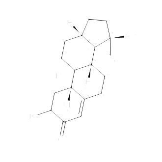 O=C1C=C2CC[C@@H]3[C@H](CC[C@@H]4CC[C@@H]5C[C@]453)[C@H]2CC1O